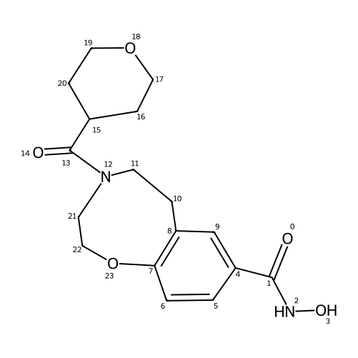 O=C(NO)c1ccc2c(c1)CCN(C(=O)C1CCOCC1)CCO2